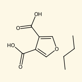 CCCC.O=C(O)c1cocc1C(=O)O